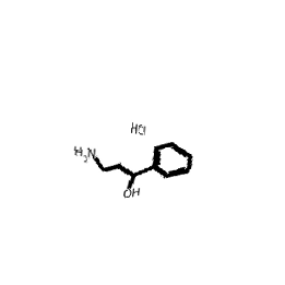 Cl.NCCC(O)c1ccccc1